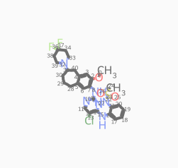 COc1cc2c(cc1Nc1ncc(Cl)c(Nc3ccccc3NS(C)(=O)=O)n1)CCCC(N1CCC(F)(F)CC1)C2